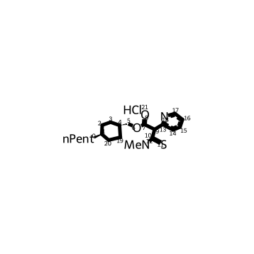 CCCCC[C@H]1CC[C@H](COC(=O)C(C(=S)NC)c2ccccn2)CC1.Cl